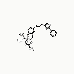 CC(=O)ON(Cc1cccc(OCCc2coc(-c3ccccc3)n2)c1)S(=O)(=O)N(C)C